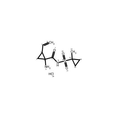 C=CC1CC1(N)C(=O)NS(=O)(=O)C1(C)CC1.Cl